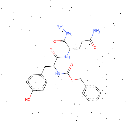 NNC(=O)[C@H](CCC(N)=O)NC(=O)[C@H](Cc1ccc(O)cc1)NC(=O)OCc1ccccc1